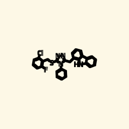 Fc1cccc(Cl)c1CSc1nnc(Cc2cccc3c2[nH]c2ccccc23)n1-c1ccccc1